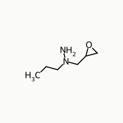 CCCN(N)CC1CO1